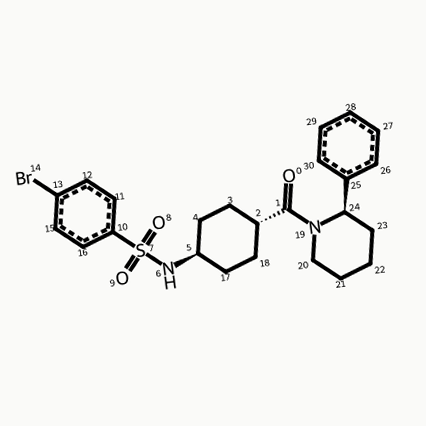 O=C([C@H]1CC[C@H](NS(=O)(=O)c2ccc(Br)cc2)CC1)N1CCCC[C@@H]1c1ccccc1